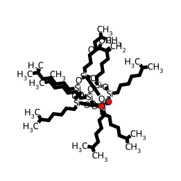 C=C(CCCC[Si]12O[Si]3(CCCCCC(C)C)O[Si]4(CCCCCC(C)C)O[Si]5(CCCCCC(C)C)O[Si](CCCCCC(C)C)(O3)O[Si](CCCCCC(C)C)(O[Si](CCCCCC(C)C)(O5)O[Si](CCCCCC(C)C)(O4)O1)O2)C(=O)O